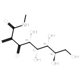 C=C(C(=O)NC)C(=O)[C@H](O)[C@@H](O)[C@H](O)[C@H](O)CO